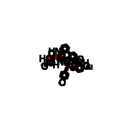 COc1ccc(CN(Cc2ccc(OC)cc2)S(=O)(=O)c2c(S(N)(=O)=O)ccc(-c3cccc4[nH]c(NC(=O)O)nc34)c2-c2nnn(Cc3ccc(OC)cc3)n2)cc1